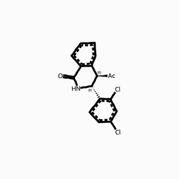 CC(=O)[C@@H]1c2ccccc2C(=O)N[C@H]1c1ccc(Cl)cc1Cl